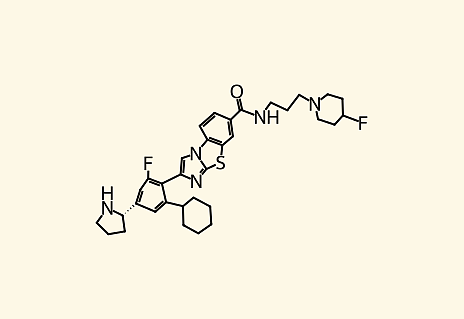 O=C(NCCCN1CCC(F)CC1)c1ccc2c(c1)sc1nc(-c3c(F)cc([C@@H]4CCCN4)cc3C3CCCCC3)cn12